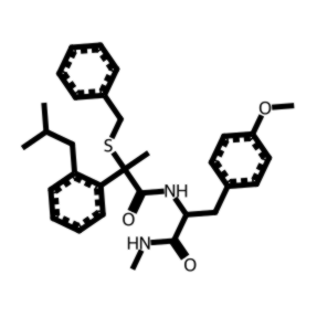 CNC(=O)C(Cc1ccc(OC)cc1)NC(=O)C(C)(SCc1ccccc1)c1ccccc1CC(C)C